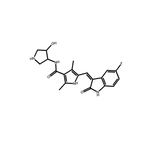 Cc1[nH]c(/C=C2\C(=O)Nc3ccc(F)cc32)c(C)c1C(=O)NC1CNCC1O